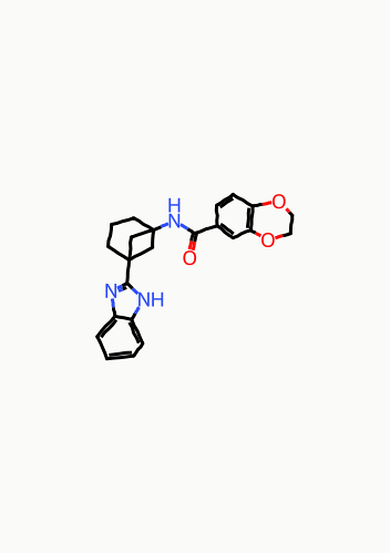 O=C(NC12CCCC(c3nc4ccccc4[nH]3)(C1)C2)c1ccc2c(c1)OCCO2